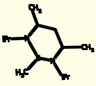 CB1N(C(C)C)C(C)CC(C)N1C(C)C